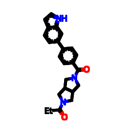 CCC(=O)N1CC2CN(C(=O)c3ccc(-c4ccc5cc[nH]c5c4)cc3)CC2C1